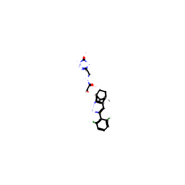 CC[C@@H](O[C@]12CC[C@H](C1)c1cc(-c3c(F)cccc3F)nnc12)C(=O)NCc1n[nH]c(=O)[nH]1